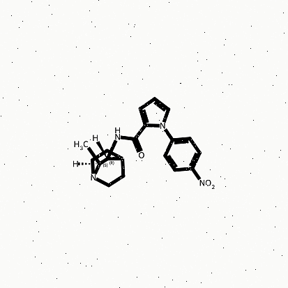 C[C@H]1[C@H](NC(=O)c2cccn2-c2ccc([N+](=O)[O-])cc2)C2CCN1CC2